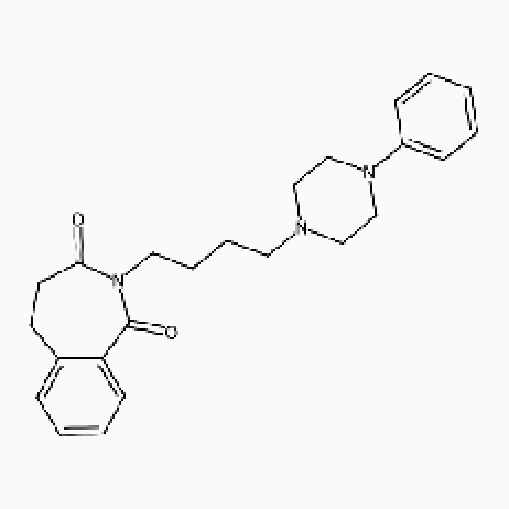 O=C1CCc2ccccc2C(=O)N1CCCCN1CCN(c2ccccc2)CC1